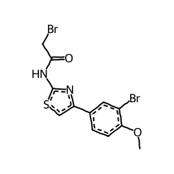 COc1ccc(-c2csc(NC(=O)CBr)n2)cc1Br